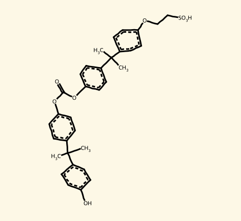 CC(C)(c1ccc(O)cc1)c1ccc(OC(=O)Oc2ccc(C(C)(C)c3ccc(OCCS(=O)(=O)O)cc3)cc2)cc1